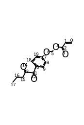 C=CC(=O)OCOc1ccc(C(=O)C(=O)CCC)cc1